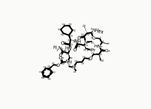 CCCCCC[C@@H](OC[C@@H](C)NC(=O)[C@@H](C)COCCCN(C)C)[C@@H](C)C(=O)N(C)[C@@H](CC(C)C)C(=O)N[C@H](C(=O)N[C@@H](CNC(=O)OCc1ccccc1)C(N)=O)C1CCCCC1